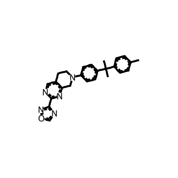 Cc1ccc(C(C)(C)c2ccc(N3CCc4cnc(-c5ncon5)nc4C3)cc2)cc1